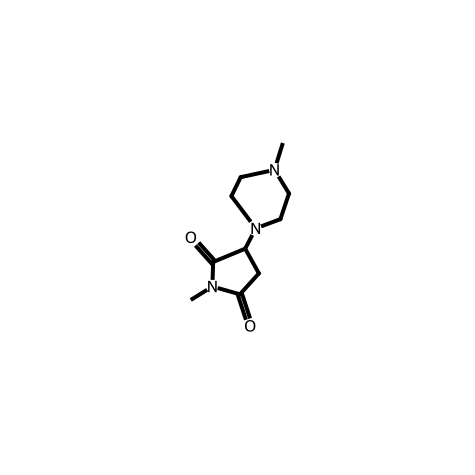 CN1CCN(C2CC(=O)N(C)C2=O)CC1